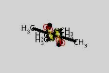 CCCCCCCCCCCCc1cc(-c2cc3c(-c4ccc(CC(CC)CCCC)s4)c4sc(-c5cc(CCCCCCCCCCCC)c(C=C6C(=O)c7ccccc7C6=O)s5)cc4c(-c4ccc(CC(CC)CCCC)s4)c3s2)sc1C=C1C(=O)c2ccccc2C1=O